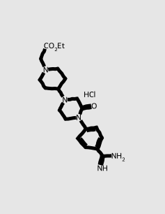 CCOC(=O)CN1CCC(N2CCN(c3ccc(C(=N)N)cc3)C(=O)C2)CC1.Cl